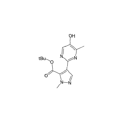 Cc1nc(-c2cnn(C)c2C(=O)OC(C)(C)C)ncc1O